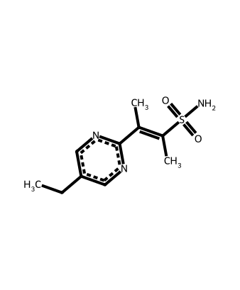 CCc1cnc(/C(C)=C(\C)S(N)(=O)=O)nc1